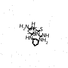 N=C(N)NC(=S)S.N=C(N)SC(=S)Nc1ccccc1